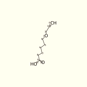 C#CCOCCCCCC(=O)O